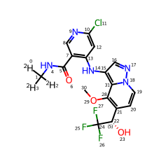 [2H]C([2H])([2H])NC(=O)c1cnc(Cl)cc1Nc1cnn2ccc([C@H](O)C(F)(F)F)c(OC)c12